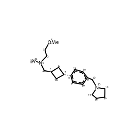 COCCN(C[C@H]1C[C@H](c2ccc(CN3CCCC3)cc2)C1)C(C)C